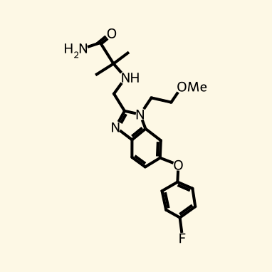 COCCn1c(CNC(C)(C)C(N)=O)nc2ccc(Oc3ccc(F)cc3)cc21